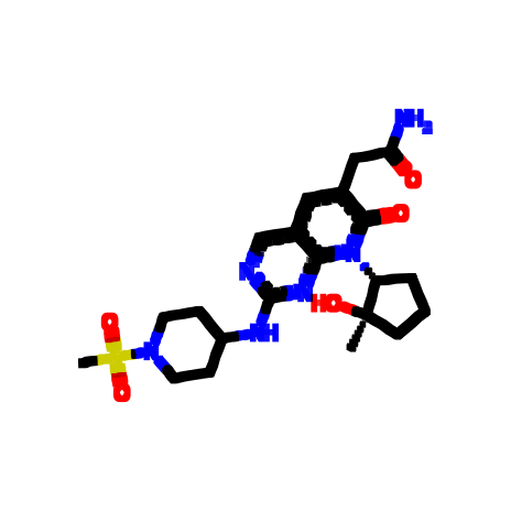 C[C@@]1(O)CCC[C@H]1n1c(=O)c(CC(N)=O)cc2cnc(NC3CCN(S(C)(=O)=O)CC3)nc21